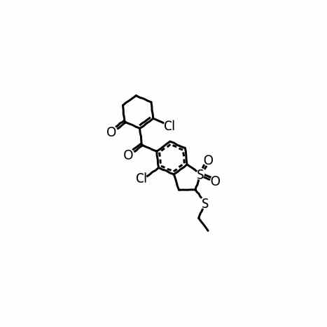 CCSC1Cc2c(ccc(C(=O)C3=C(Cl)CCCC3=O)c2Cl)S1(=O)=O